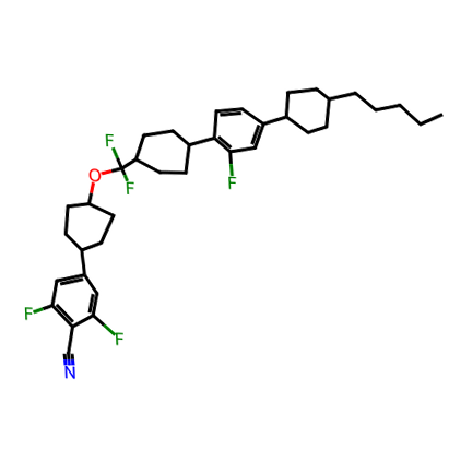 CCCCCC1CCC(c2ccc(C3CCC(C(F)(F)OC4CCC(c5cc(F)c(C#N)c(F)c5)CC4)CC3)c(F)c2)CC1